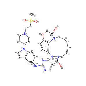 CS(=O)(=O)CCN1CCC(n2ccc3cc(Nc4ncc5c(=O)n6n(c5n4)-c4ccc5c(c4)N(CCC/C=C\C6)C(=O)CO5)ccc32)CC1